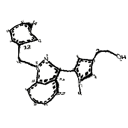 Cn1cc(CO)cc1-c1nn(Cc2ccccc2)c2ccccc12